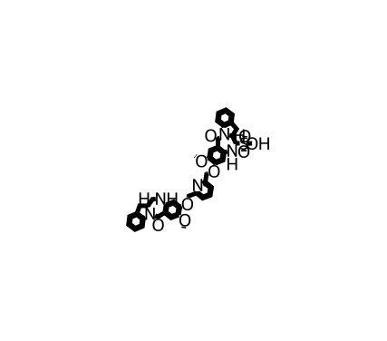 COc1cc2c(cc1OCc1cccc(COc3cc4c(cc3OC)C(=O)N3c5ccccc5C[C@H]3C(S(=O)(=O)O)N4)n1)NC[C@@H]1Cc3ccccc3N1C2=O